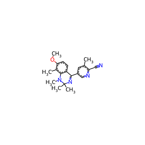 COc1ccc2c(c1C)N(C)C(C)(C)N=C2c1cnc(C#N)c(C)c1